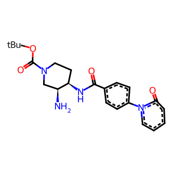 CC(C)(C)OC(=O)N1CC[C@@H](NC(=O)c2ccc(-n3ccccc3=O)cc2)[C@@H](N)C1